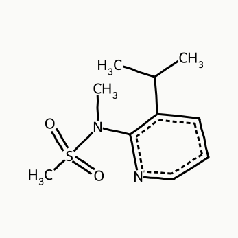 CC(C)c1cccnc1N(C)S(C)(=O)=O